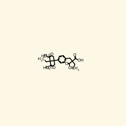 CCC(Cc1ccc(C(CC)(CC)C(CC)(C(=O)O)C(=O)O)cc1)(C(=O)O)C(=O)O